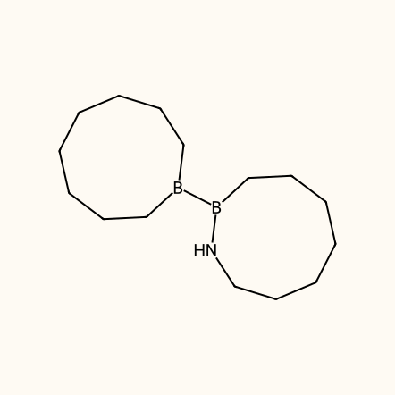 C1CCCCB(B2CCCCCCCN2)CCC1